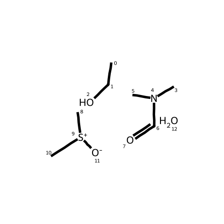 CCO.CN(C)C=O.C[S+](C)[O-].O